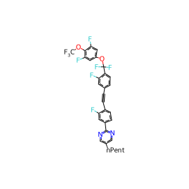 CCCCCc1cnc(-c2ccc(C#Cc3ccc(C(F)(F)Oc4cc(F)c(OC(F)(F)F)c(F)c4)c(F)c3)c(F)c2)nc1